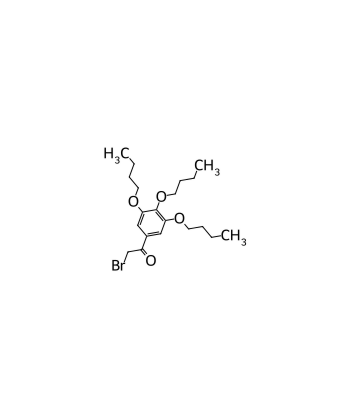 CCCCOc1cc(C(=O)CBr)cc(OCCCC)c1OCCCC